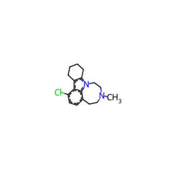 CN1CCc2ccc(Cl)c3c4c(n(c23)CC1)CCCC4